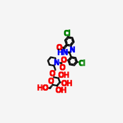 O=C(Oc1ccc(Cl)cc1-c1nc2ccc(Cl)cc2c(=O)[nH]1)N1CCCCC1CO[C@@H]1O[C@H](CO)[C@H](O)[C@H](O)[C@H]1O